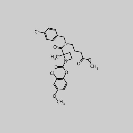 COC(=O)CCCN(Cc1ccc(Cl)cc1)C(=O)C1(C)CCN1C(=O)Oc1ccc(OC)cc1Cl